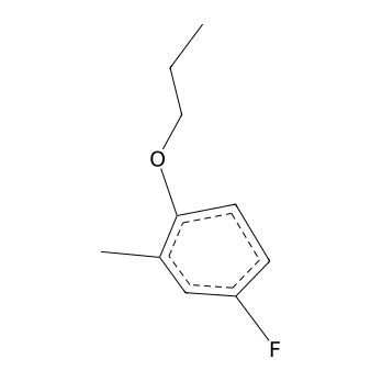 CCCOc1ccc(F)cc1C